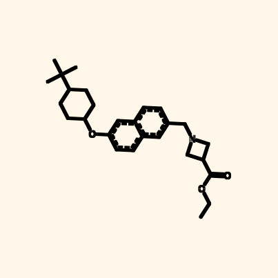 CCOC(=O)C1CN(Cc2ccc3cc(OC4CCC(C(C)(C)C)CC4)ccc3c2)C1